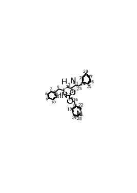 N[C@@H](CC[C@@H](Cc1ccccc1)NC(=O)OCc1cccnc1)Cc1ccccc1